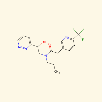 CCCN(CC(O)c1cccnn1)C(=O)Cc1ccc(C(F)(F)F)nc1